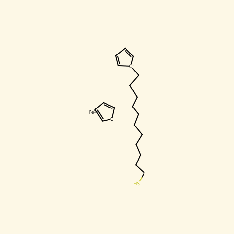 SCCCCCCCCCCC[c-]1cccc1.[Fe+2].c1cc[cH-]c1